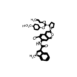 C=CCOC(O[C@H]1CC[C@H](C(=O)O)CC1)[C@@H]1CCCN1C(=O)Cc1cc(Cl)c(NC(=O)c2cn(C)c3ccccc23)cc1F